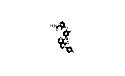 Cc1c(Oc2ccc(Nc3nccc4ccn(-c5ccc(F)cc5)c(=O)c34)cc2F)ccnc1C(N)=O